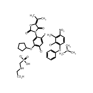 CC(C)=C1OC(=O)N(c2cc(OC3CCCC3)c(Cl)cc2F)C1=O.C[S+](C)C.Nc1c([N+](=O)[O-])ccc(Oc2ccccc2)c1Cl.O=C(O)CNCP(=O)([O-])O